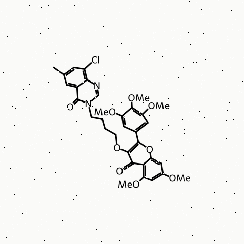 COc1cc(OC)c2c(=O)c(OCCCCn3cnc4c(Cl)cc(C)cc4c3=O)c(-c3cc(OC)c(OC)c(OC)c3)oc2c1